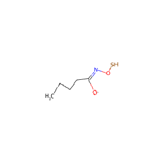 CCCCC([O])=NOS